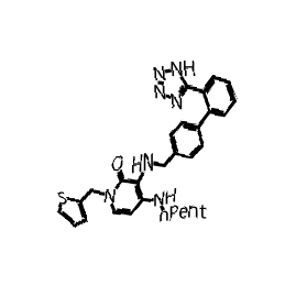 CCCCCNc1ccn(Cc2cccs2)c(=O)c1NCc1ccc(-c2ccccc2-c2nnn[nH]2)cc1